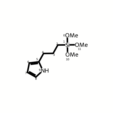 CO[Si](CCCc1ccc[nH]1)(OC)OC